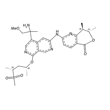 COCC(C)(N)c1cnc(O[C@H](C)C[C@@H](C)S(C)(=O)=O)c2cnc(Nc3ccc4c(n3)[C@@H](C)[C@H](C)OC4=O)cc12